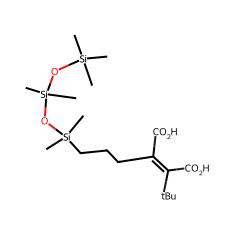 CC(C)(C)C(C(=O)O)=C(CCC[Si](C)(C)O[Si](C)(C)O[Si](C)(C)C)C(=O)O